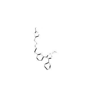 CCc1nc(CCC/C=C/c2cccc(-c3nn(CC)nc3-c3ccccc3)c2)cs1